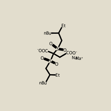 CCCCC(CC)CS(=O)(=O)C(CC(=O)[O-])(C(=O)[O-])S(=O)(=O)CC(CC)CCCC.[Na+].[Na+]